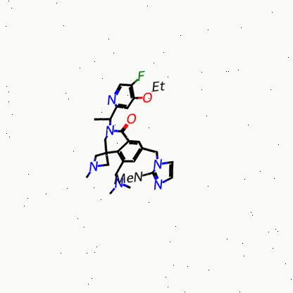 CCOc1cc(C(C)N2CC3(CN(C)C3)c3c(CN(C)C)cc(Cn4ccnc4NC)cc3C2=O)ncc1F